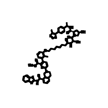 Cc1ncsc1-c1ccc(C(C)NC(=O)[C@@H]2C[C@@H](O)CN2C(=O)C(NC(=O)CCCCCCCOc2cccc(-c3ccc(N4CCc5cccc(C(=O)Nc6nc7ccccc7s6)c5C4)nc3C(=O)OC(C)(C)C)c2C)C(C)(C)C)cc1